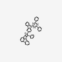 c1ccc(-c2nc(-c3ccccc3)nc(-n3c4ccccc4c4cc(-c5sc6c7cccc8c9ccccc9n(c6c5-c5ccccc5)c87)ccc43)n2)cc1